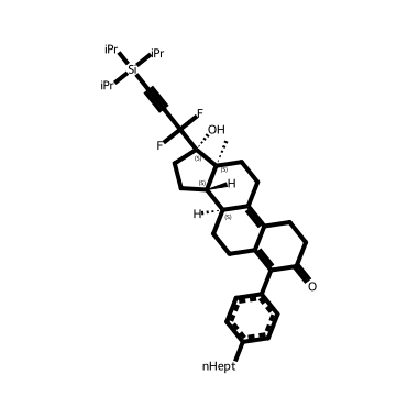 CCCCCCCc1ccc(C2=C3CC[C@@H]4C(=C3CCC2=O)CC[C@@]2(C)[C@H]4CC[C@@]2(O)C(F)(F)C#C[Si](C(C)C)(C(C)C)C(C)C)cc1